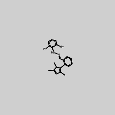 CC1=CC(C)=C(c2ccccc2C=NNc2c(C(C)C)cccc2C(C)C)C1C